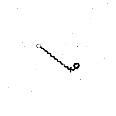 CC(C)(CCCCCCCCCCCCCCCCCCl)Cc1ccccc1